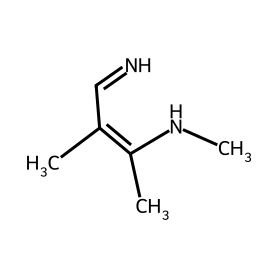 CN/C(C)=C(/C)C=N